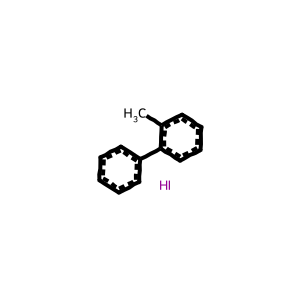 Cc1ccccc1-c1ccccc1.I